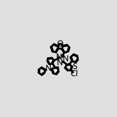 Clc1ccc(-c2nc(-c3cccc4oc5ccccc5c34)nc(-c3cccc4c3c3ccccc3n4-c3ccccc3)n2)c2c1sc1ccccc12